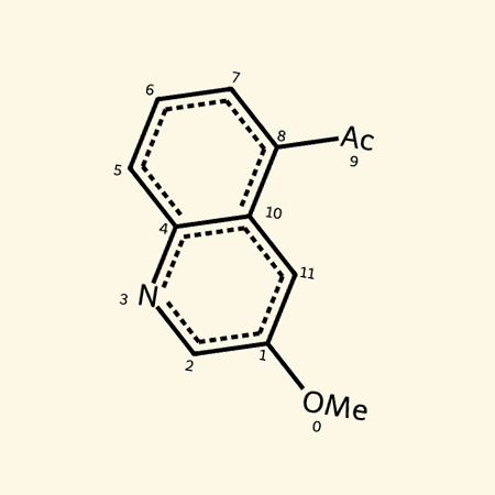 COc1cnc2cccc(C(C)=O)c2c1